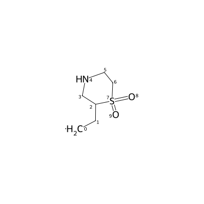 [CH2]CC1CNCCS1(=O)=O